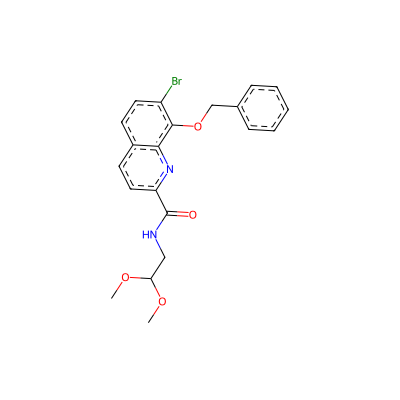 COC(CNC(=O)c1ccc2ccc(Br)c(OCc3ccccc3)c2n1)OC